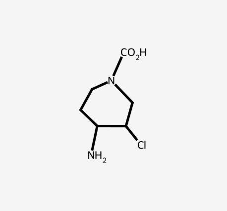 NC1CCN(C(=O)O)CC1Cl